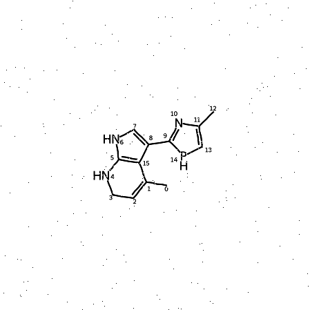 CC1=CCNc2[nH]cc(-c3nc(C)c[pH]3)c21